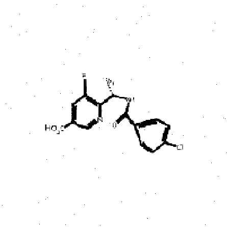 CC(C)[C@H](NC(=O)c1ccc(Cl)cc1)c1ncc(C(=O)O)cc1F